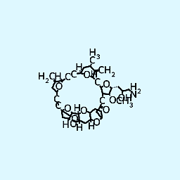 C=C1CC2CC[C@@]34C[C@H]5O[C@H]6C(O3)[C@H]3OC(CCC3O[C@H]6C5O4)CC(=O)CC3C(C[C@H]4O[C@@H](CC[C@@H]1O2)C[C@@H](C)C4=C)O[C@H](CC(O)CN)[C@@H]3OC